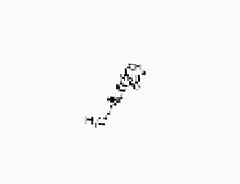 CCCCCCNCc1ccc2nc(CC)[nH]c(=O)c2c1